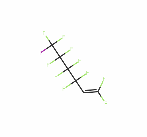 FC(F)=CC(F)(F)C(F)(F)C(F)(F)C(F)(F)I